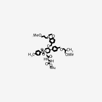 COCCCN1CCOc2ccc(CO[C@H]3CN(S(=O)(=O)c4ccc(C)cc4)[C@@H](CC(=O)NNC(=O)OC(C)(C)C)C[C@@H]3c3ccc(COC[C@@H](C)COC)cc3)cc21